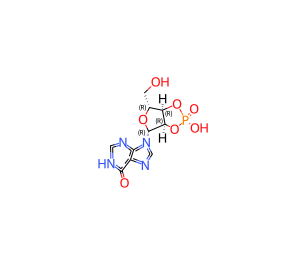 O=c1[nH]cnc2c1ncn2[C@@H]1O[C@H](CO)[C@H]2OP(=O)(O)O[C@H]21